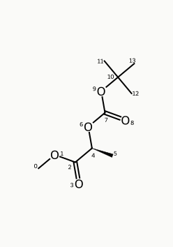 COC(=O)[C@H](C)OC(=O)OC(C)(C)C